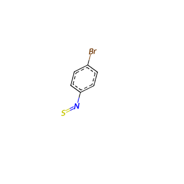 S=Nc1ccc(Br)cc1